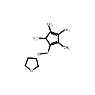 C1CCOC1.CC1=C(C)C(C)[C]([V][Cl])=C1C